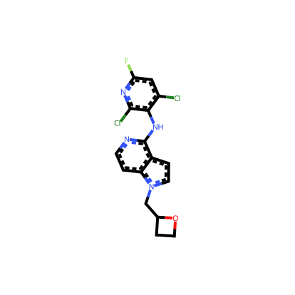 Fc1cc(Cl)c(Nc2nccc3c2ccn3CC2CCO2)c(Cl)n1